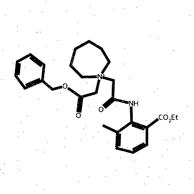 CCOC(=O)c1cccc(C)c1NC(=O)C[N+]1(CC(=O)OCc2ccccc2)CCCCCC1